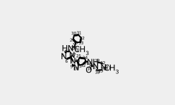 C[C@H](Nc1cncc(-n2cnc3cc(NC(=O)N4CCN(C)CC4)ccc32)n1)c1ccccc1